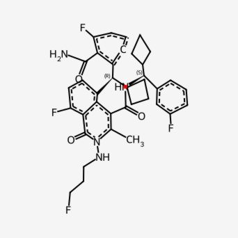 Cc1c(C(=O)N[C@H](c2cccc(F)c2)C2CCC2)c2c([C@@H](c3cccc(F)c3C(N)=O)C3CCC3)ccc(F)c2c(=O)n1NCCCF